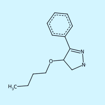 CCCCOC1C[N]N=C1c1ccccc1